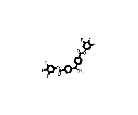 CC(c1ccc(C(=O)Oc2cc(F)c(F)c(F)c2)cc1)c1ccc(C(=O)Oc2cc(F)c(F)c(F)c2)cc1